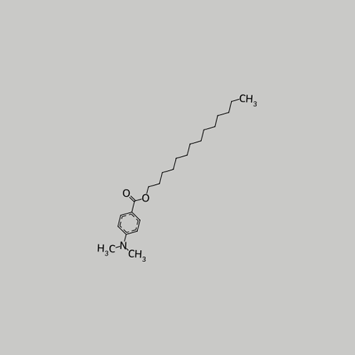 CCCCCCCCCCCCCCOC(=O)c1ccc(N(C)C)cc1